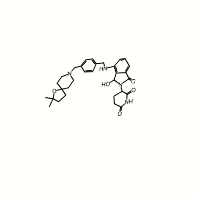 CC1(C)CCC2(CCN(Cc3ccc(CNc4cccc5c4C(O)N(C4CCC(=O)NC4=O)C5=O)cc3)CC2)O1